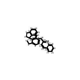 Cc1cccc2c1[C@@]1(CC2)CCc2cccc(NCc3ccc4ccccc4n3)c21